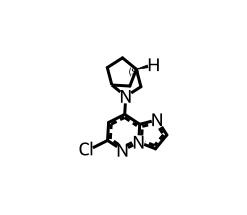 Clc1cc(N2C[C@H]3CCC2C3)c2nccn2n1